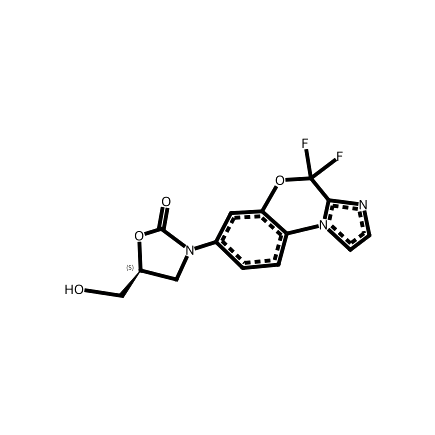 O=C1O[C@H](CO)CN1c1ccc2c(c1)OC(F)(F)c1nccn1-2